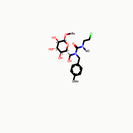 CCCCO[C@H]1O[C@H](C(O)N(Cc2ccc(OC)cc2)C(=O)N(CCCl)N=O)[C@@H](O)[C@H](O)[C@H]1O